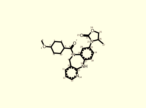 COC1CCC(C(=O)N2Cc3cccnc3Nc3ccc(N4C(=O)OCC4C)cc32)CC1